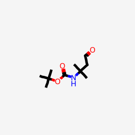 CC(C)(CC=O)NC(=O)OC(C)(C)C